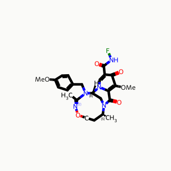 COc1ccc(CN2/C(C)=N\OCC[C@H](C)N3C[C@H]2n2cc(C(=O)NF)c(=O)c(OC)c2C3=O)cc1